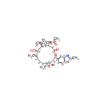 C=C[C@@H]1C(=O)C(C)(C)[C@H](OC(C)=O)CC(=O)O[C@@H](c2ccc3sc(C)nc3c2)C[C@H]2O[C@@]2(C)CCC[C@@H](C)[C@H]1O